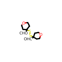 O=CC1(SSC2(C=O)CCOCC2)CCOCC1